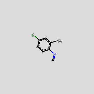 C=Nc1ccc(Br)cc1[N+](=O)[O-]